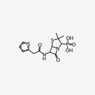 CC1(C)SC2C(NC(=O)Cc3cccs3)C(=O)N2C1P(=O)(O)O